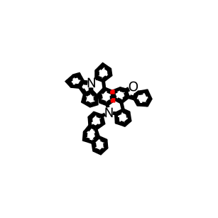 c1ccc(N(c2ccc(-c3ccccc3-n3c4ccccc4c4ccccc43)cc2)c2ccc3ccc4ccccc4c3c2)c(-c2cccc3oc4ccccc4c23)c1